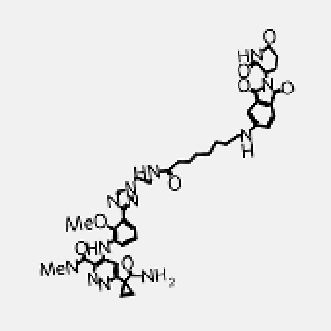 CNC(=O)c1nnc(C2(C(N)=O)CC2)cc1Nc1cccc(-c2ncn(CCNC(=O)CCCCCCCNc3ccc4c(c3)C(=O)N(C3CCC(=O)NC3=O)C4=O)n2)c1OC